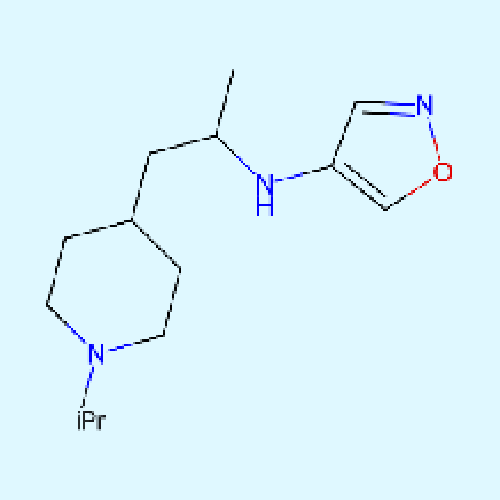 CC(CC1CCN(C(C)C)CC1)Nc1cnoc1